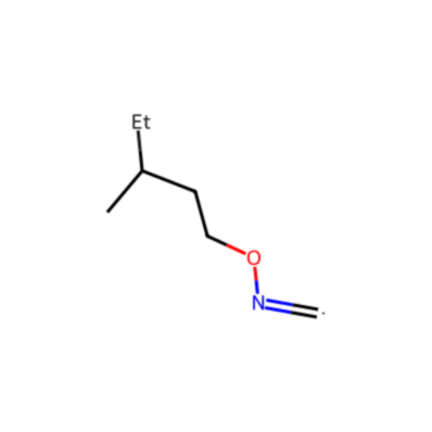 [CH]=NOCCC(C)CC